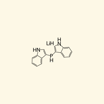 [LiH].c1ccc2c(Pc3c[nH]c4ccccc34)c[nH]c2c1